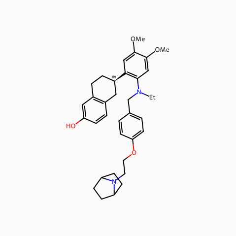 CCN(Cc1ccc(OCCN2C3CCC2CC3)cc1)c1cc(OC)c(OC)cc1[C@@H]1CCc2cc(O)ccc2C1